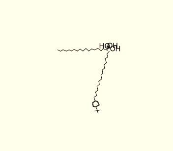 CCCCCCCCCCCCCCCCCCP(O)(O)(O)CCCCCCCCCCCCCCCCCCc1ccc(C(C)(C)C)cc1